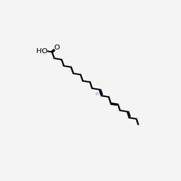 CCC=CCC=CC/C=C/CCCCCCCCCC(=O)O